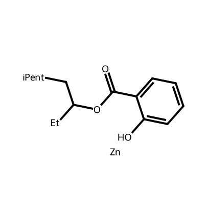 CCCC(C)CC(CC)OC(=O)c1ccccc1O.[Zn]